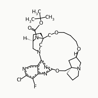 CC(C)(C)OC(=O)N1[C@@H]2CC[C@]13COCCCO[C@H]1CN4CCC[C@]4(COc4nc(c5cnc(Cl)c(F)c5n4)N(C2)C3)C1